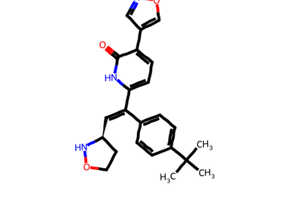 CC(C)(C)c1ccc(/C(=C\[C@H]2CCON2)c2ccc(-c3cnoc3)c(=O)[nH]2)cc1